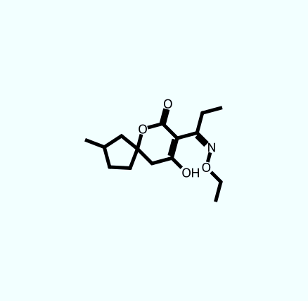 CCO/N=C(/CC)C1=C(O)CC2(CCC(C)C2)OC1=O